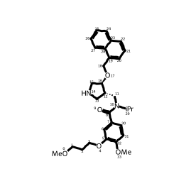 COCCCOc1cc(C(=O)N(C[C@@H]2CNC[C@H]2OCc2cccc3ccccc23)C(C)C)ccc1OC